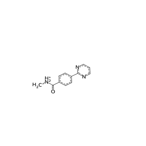 [CH2-][NH2+]C(=O)c1ccc(-c2ncccn2)cc1